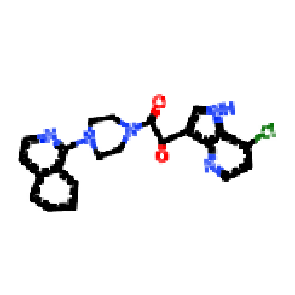 O=C(C(=O)N1CCN(c2nccc3ccccc23)CC1)c1c[nH]c2c(Cl)ccnc12